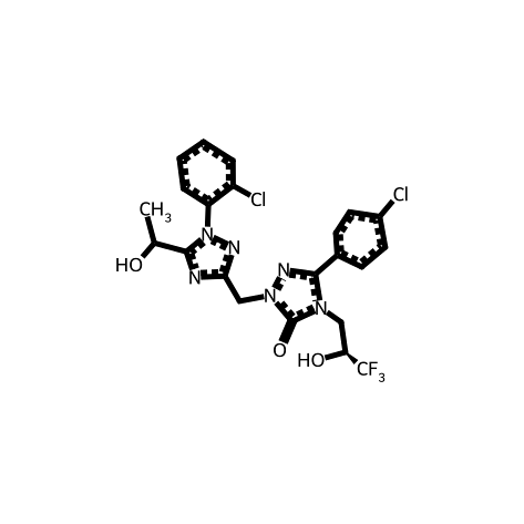 CC(O)c1nc(Cn2nc(-c3ccc(Cl)cc3)n(C[C@H](O)C(F)(F)F)c2=O)nn1-c1ccccc1Cl